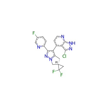 Fc1ccc(-c2nn3c(c2-c2ccnc4[nH]nc(Cl)c24)C[C@]2(C3)CC2(F)F)nc1